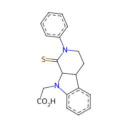 O=C(O)CN1c2ccccc2C2CCN(c3ccccc3)C(=S)C21